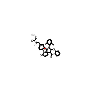 Cc1cccc(C)c1N1C(=O)C2(C=CC(=O)N2c2ccc(CNC(=O)OC(C)(C)C)cc2)C2C(=O)c3ccccc3OC21